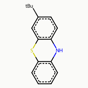 CC(C)(C)c1ccc2c(c1)Sc1ccccc1N2